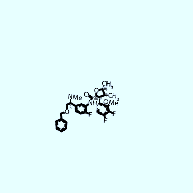 CN[C@H](COCc1ccccc1)c1ccc(F)c(NC(=O)[C@@H]2O[C@H](C)[C@@H](C)[C@H]2c2ccc(F)c(F)c2OC)c1